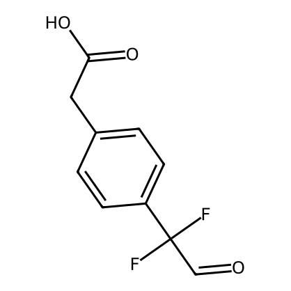 O=CC(F)(F)c1ccc(CC(=O)O)cc1